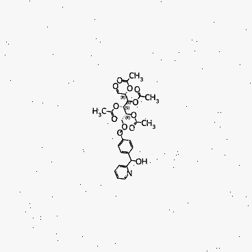 CC(=O)O[C@H]([C@H](OC(C)=O)[C@H](C=O)OC(C)=O)[C@@H](COOc1ccc(C(O)c2ccccn2)cc1)OC(C)=O